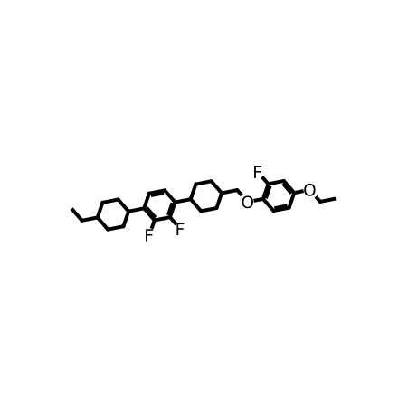 CCOc1ccc(OCC2CCC(c3ccc(C4CCC(CC)CC4)c(F)c3F)CC2)c(F)c1